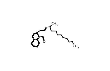 CCCCCCCCCC(C)C=CCc1ccc2ccccc2c1C=O